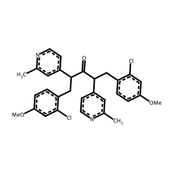 COc1ccc(CC(C(=O)C(Cc2ccc(OC)cc2Cl)c2ccnc(C)c2)c2ccnc(C)c2)c(Cl)c1